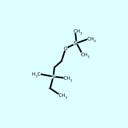 C[C][Si](C)(C)CCO[Si](C)(C)C